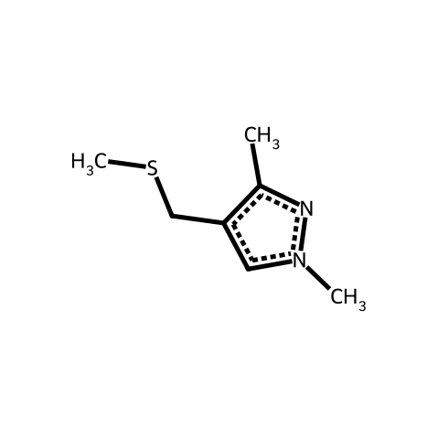 CSCc1cn(C)nc1C